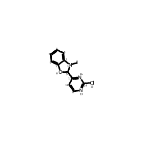 CN1c2ccccc2OC1c1ccnc(Cl)n1